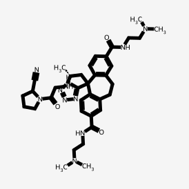 C[C@H](CC1(c2nnn[nH]2)c2ccc(C(=O)NCCN(C)C)cc2CCc2cc(C(=O)NCCN(C)C)ccc21)NCC(=O)N1CCCC1C#N